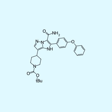 CC(C)(C)OC(=O)N1CCC(c2cnn3c(C(N)=O)c(-c4ccc(Oc5ccccc5)cc4)[nH]c23)CC1